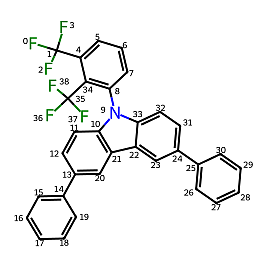 FC(F)(F)c1cccc(-n2c3ccc(-c4ccccc4)cc3c3cc(-c4ccccc4)ccc32)c1C(F)(F)F